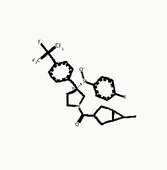 CC1C2CC(C(=O)N3CC[C@](c4ccc(C(F)(C(F)(F)F)C(F)(F)F)cc4)([S+]([O-])c4ccc(F)cc4)C3)CC12